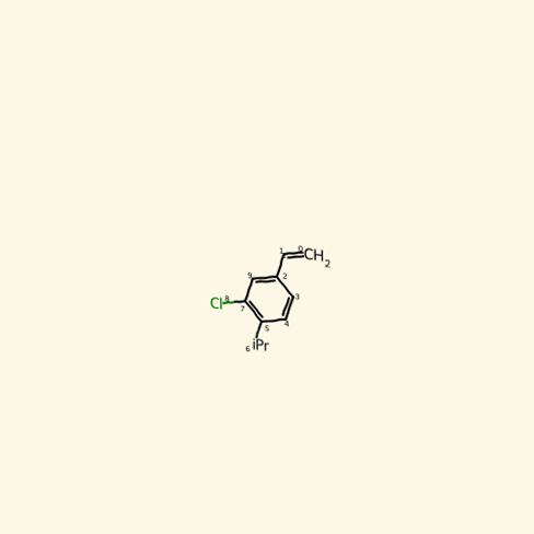 C=[C]c1ccc(C(C)C)c(Cl)c1